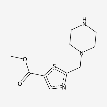 COC(=O)c1cnc(CN2CCNCC2)s1